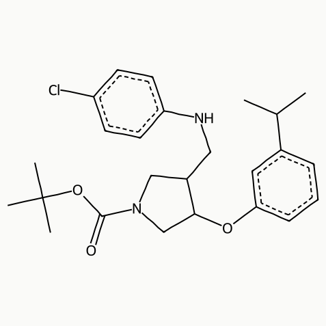 CC(C)c1cccc(OC2CN(C(=O)OC(C)(C)C)CC2CNc2ccc(Cl)cc2)c1